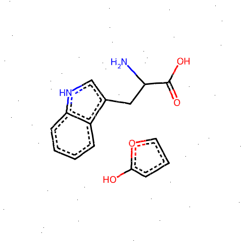 NC(Cc1c[nH]c2ccccc12)C(=O)O.Oc1ccco1